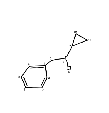 ClP(Cc1ccccc1)C1CC1